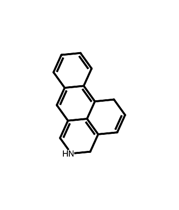 C1=CC2=c3c(c4ccccc4cc3=CNC2)C1